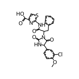 COc1ccc(C2NC(=O)N(C(Cc3ccccc3)C(=O)Nc3nc(C(=O)O)cs3)C2=O)cc1Cl